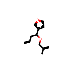 C=CCC(OCC(=C)C)c1ccoc1